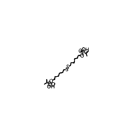 CC(C)P(=O)(O)OCCCCCCSSCCCCCCOP(=O)(O)C(C)C